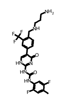 Cc1cc(F)c(NC(=O)Nc2nc(=O)c(-c3ccc(CNCCCN)c(C(F)(F)F)c3)c[nH]2)cc1F